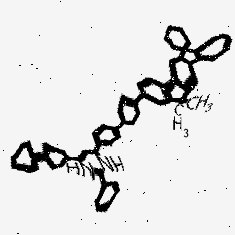 CC1(C)C2=CC3c4ccccc4C4(CCCCC4)C3C=C2c2ccc(C3=CC=C(c4ccc(C5C=C(c6ccc(-c7ccccc7)cc6)NC(c6ccccc6)N5)cc4)CC3)cc21